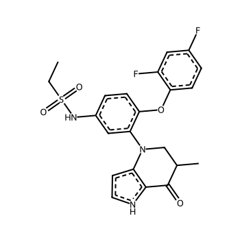 CCS(=O)(=O)Nc1ccc(Oc2ccc(F)cc2F)c(N2CC(C)C(=O)c3[nH]ccc32)c1